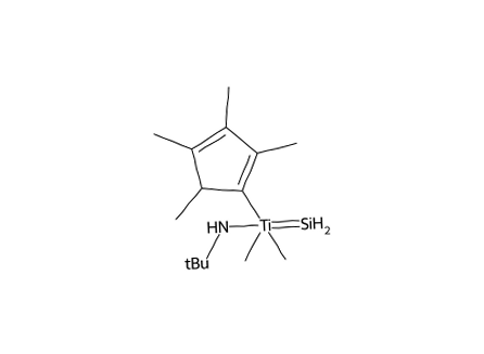 CC1=C(C)C(C)[C]([Ti]([CH3])([CH3])(=[SiH2])[NH]C(C)(C)C)=C1C